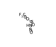 O=C(NCCN1CCOCC1)c1cc(-c2ccc(OCC(F)(F)F)cc2)cs1